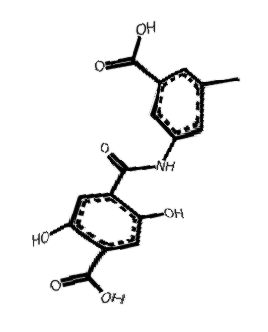 Cc1cc(NC(=O)c2cc(O)c(C(=O)O)cc2O)cc(C(=O)O)c1